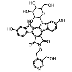 O=C1c2c(c3c4ccc(O)cc4n(C4OC(CO)C(O)C(O)C4O)c3c3[nH]c4cc(O)ccc4c23)C(=O)N1OCc1ccncc1CO